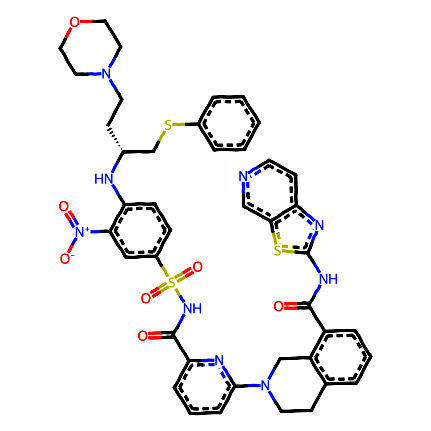 O=C(NS(=O)(=O)c1ccc(N[C@H](CCN2CCOCC2)CSc2ccccc2)c([N+](=O)[O-])c1)c1cccc(N2CCc3cccc(C(=O)Nc4nc5ccncc5s4)c3C2)n1